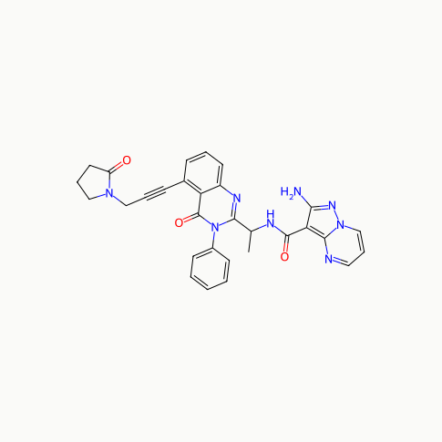 CC(NC(=O)c1c(N)nn2cccnc12)c1nc2cccc(C#CCN3CCCC3=O)c2c(=O)n1-c1ccccc1